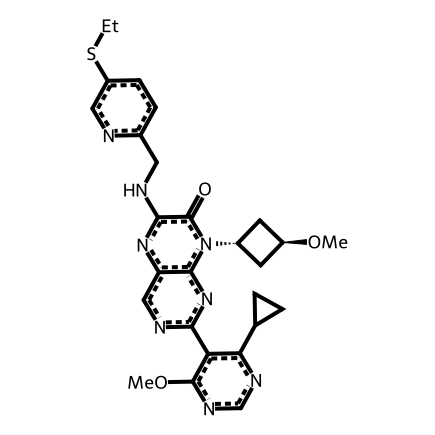 CCSc1ccc(CNc2nc3cnc(-c4c(OC)ncnc4C4CC4)nc3n([C@H]3C[C@H](OC)C3)c2=O)nc1